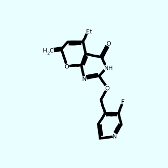 C=C1C=C(CC)c2c(nc(OCc3ccncc3F)[nH]c2=O)O1